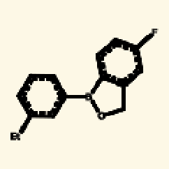 CCc1cccc(B2OCc3cc(F)ccc32)c1